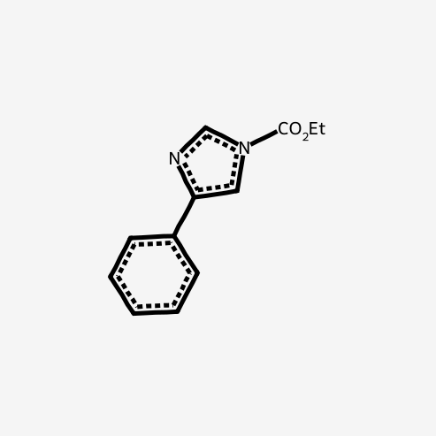 CCOC(=O)n1cnc(-c2ccccc2)c1